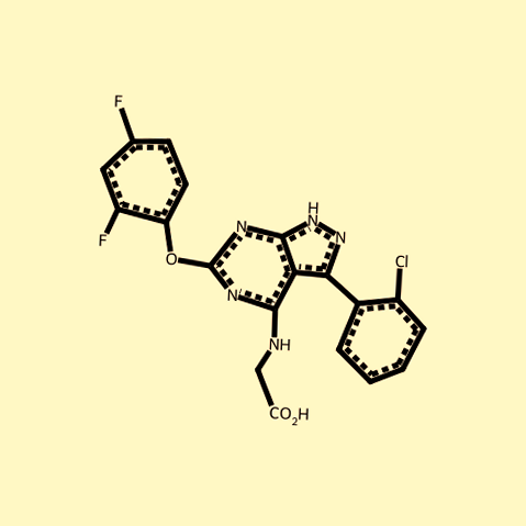 O=C(O)CNc1nc(Oc2ccc(F)cc2F)nc2[nH]nc(-c3ccccc3Cl)c12